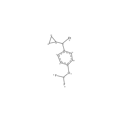 CC[C](c1ccc(OC(F)F)cc1)C1CC1